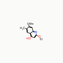 CCOc1cc(O)c2cc(C)c(OC)cc2n1